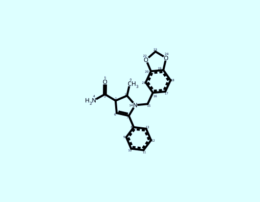 CC1C(C(N)=O)C=C(c2ccccc2)N1Cc1ccc2c(c1)OCO2